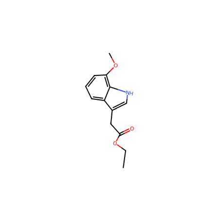 CCOC(=O)Cc1c[nH]c2c(OC)cccc12